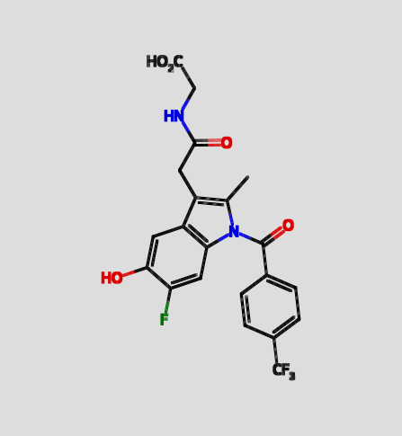 Cc1c(CC(=O)NCC(=O)O)c2cc(O)c(F)cc2n1C(=O)c1ccc(C(F)(F)F)cc1